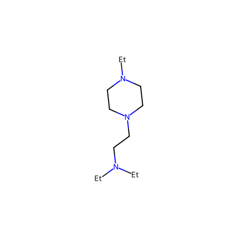 CCN(CC)CCN1CCN(CC)CC1